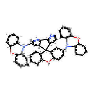 c1ccc2c(c1)Oc1ccccc1N2c1ccc2c(c1)C1(c3ccccc3O2)c2cccnc2-c2ncc(N3c4ccccc4Oc4ccccc43)cc21